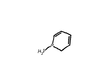 PP1C=CC=CC1